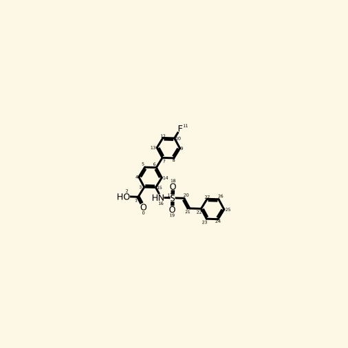 O=C(O)c1ccc(-c2ccc(F)cc2)cc1NS(=O)(=O)/C=C/c1ccccc1